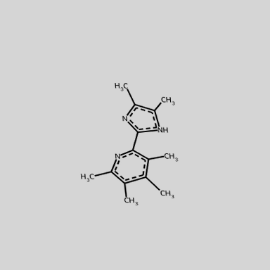 Cc1nc(-c2nc(C)c(C)c(C)c2C)[nH]c1C